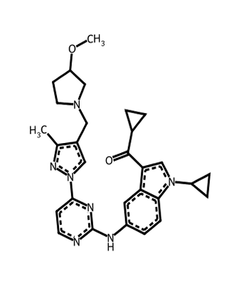 COC1CCN(Cc2cn(-c3ccnc(Nc4ccc5c(c4)c(C(=O)C4CC4)cn5C4CC4)n3)nc2C)C1